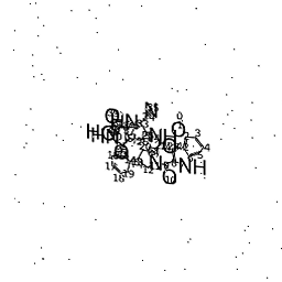 COc1cccc2[nH]c(C(=O)N3C[C@H](C4C=CC=CC4)C[C@H]3C(=O)N[C@@H](C[C@@H]3CCNC3=O)C(C#N)NCC(=O)O)cc12